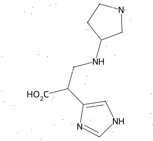 O=C(O)C(CNC1CC[N]C1)c1c[nH]cn1